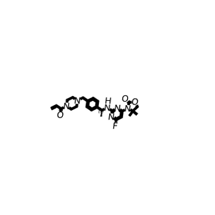 C=CC(=O)N1CCN(Cc2ccc([C@H](C)Nc3nc(F)cc(N4C(=O)OCC4(C)C)n3)cc2)CC1